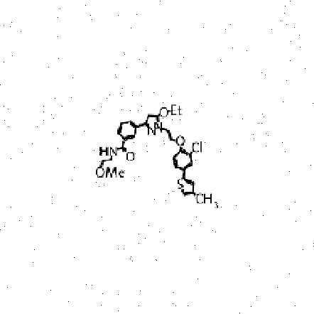 CCOc1cc(-c2cccc(C(=O)NCCOC)c2)nn1CCOc1ccc(-c2cc(C)cs2)cc1Cl